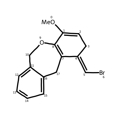 COC1=CCC(=CBr)C2=C1OCc1ccccc1C2